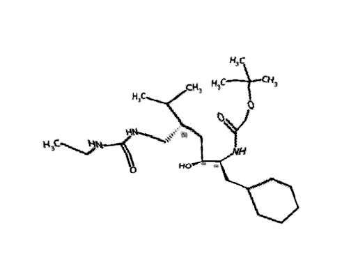 CCNC(=O)NC[C@@H](C[C@H](O)[C@H](CC1CCCCC1)NC(=O)OC(C)(C)C)C(C)C